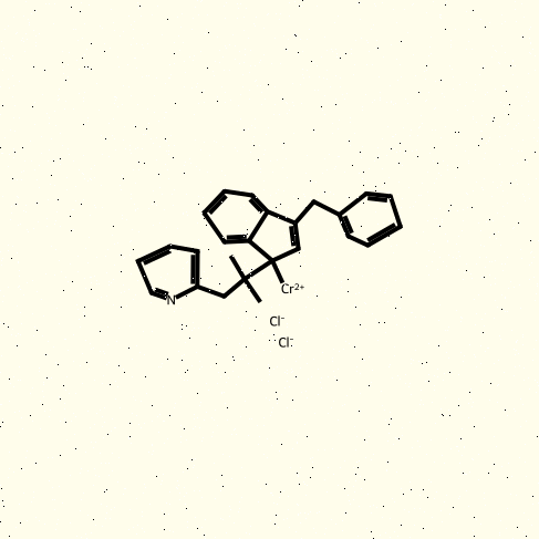 CC(C)(Cc1ccccn1)[C]1([Cr+2])C=C(Cc2ccccc2)c2ccccc21.[Cl-].[Cl-]